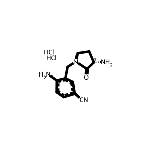 Cl.Cl.N#Cc1ccc(N)c(CN2CC[C@H](N)C2=O)c1